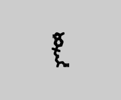 Cc1cnn2cc(C(C)(C)COCC(C)CO)ccc12